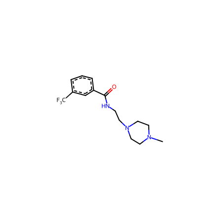 CN1CCN(CCNC(=O)c2cccc(C(F)(F)F)c2)CC1